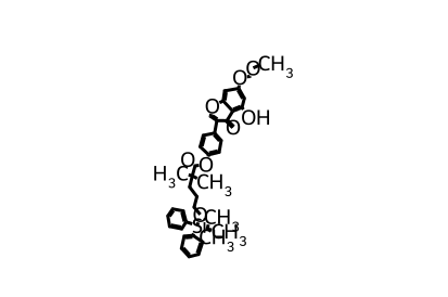 COCOc1cc(O)c2c(=O)c(-c3ccc(OC(=O)C(C)(C)CCCO[Si](c4ccccc4)(c4ccccc4)C(C)(C)C)cc3)coc2c1